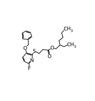 CCCCC(CC)COC(=O)CCSc1nc(F)ccc1OCc1ccccc1